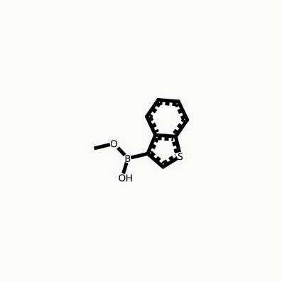 COB(O)c1csc2ccccc12